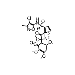 COC1=CC(OC)=C(OC)C(=C=O)C1C(N)(OC)C(=O)c1sccc1S(=O)(=O)Nc1onc(C)c1Cl